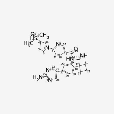 C[SH](C)(=O)C1CCN(c2ccc(C(=O)NC(=N)C3(c4ccc(-c5cnc(N)nc5)cc4)CCC3)cn2)C1